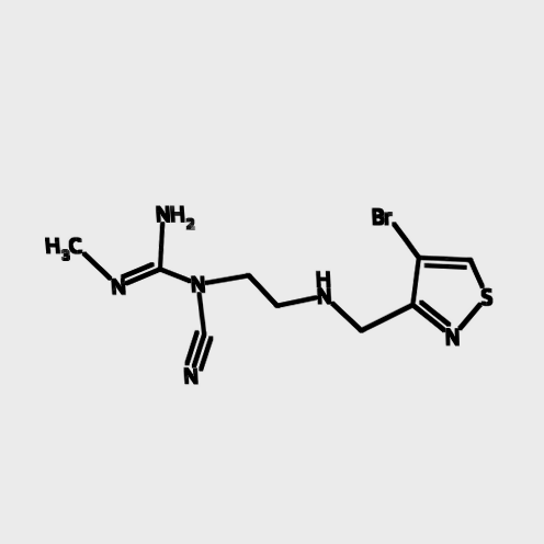 C/N=C(\N)N(C#N)CCNCc1nscc1Br